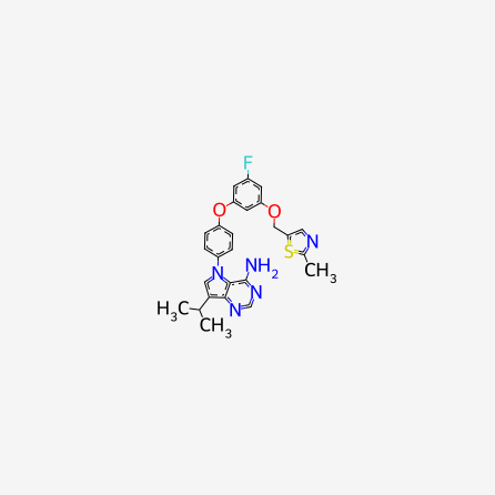 Cc1ncc(COc2cc(F)cc(Oc3ccc(-n4cc(C(C)C)c5ncnc(N)c54)cc3)c2)s1